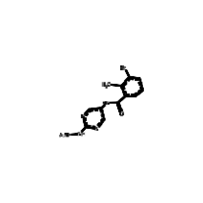 CC(=O)NNc1ncc(NC(=O)c2cccc(Br)c2C)cn1